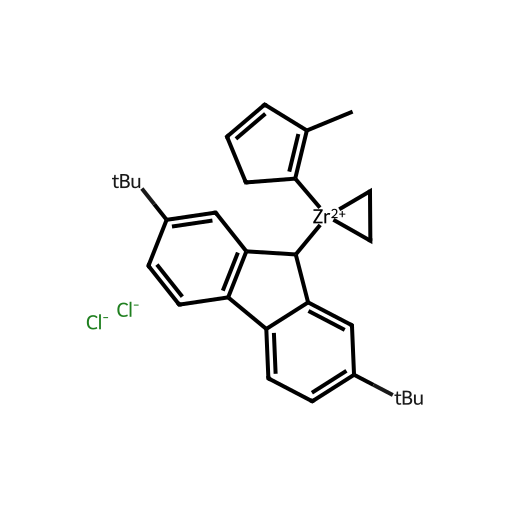 CC1=[C]([Zr+2]2([CH]3c4cc(C(C)(C)C)ccc4-c4ccc(C(C)(C)C)cc43)[CH2][CH2]2)CC=C1.[Cl-].[Cl-]